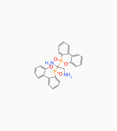 NCC(N)(P1(=O)Oc2ccccc2-c2ccccc21)P1(=O)Oc2ccccc2-c2ccccc21